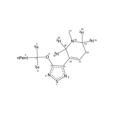 [2H]C([2H])(CCCCC)Oc1nsnc1C1=CCC([2H])([2H])N(C)C1([2H])[2H]